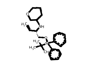 C=C[C@@H](CO[Si](c1ccccc1)(c1ccccc1)C(C)(C)C)NC1CCCOC1